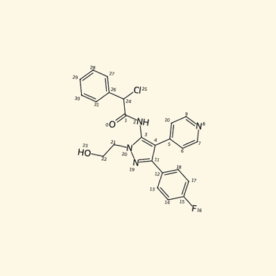 O=C(Nc1c(-c2ccncc2)c(-c2ccc(F)cc2)nn1CCO)C(Cl)c1ccccc1